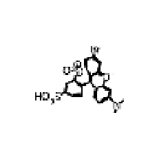 CN(C)c1ccc2c(-c3ccc(S(=O)(=O)O)cc3S(=O)(=O)[O-])c3ccc(Br)cc3[o+]c2c1